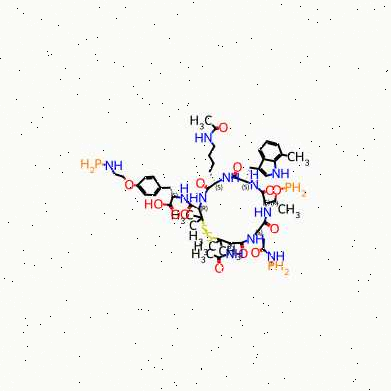 CC(=O)NCCCC[C@@H]1NC(=O)[C@H](Cc2c[nH]c3c(C)cccc23)NC(=O)[C@H]([C@@H](C)OP)NC(=O)[C@H](CC(=O)NP)NC(=O)[C@@H](NC(C)=O)C(C)(C)SSC(C)(C)[C@@H](C(=O)N[C@@H](Cc2ccc(OCCNP)cc2)C(=O)O)NC1=O